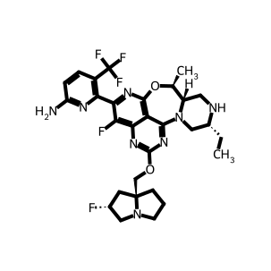 CC[C@@H]1CN2c3nc(OC[C@@]45CCCN4C[C@H](F)C5)nc4c(F)c(-c5nc(N)ccc5C(F)(F)F)nc(c34)O[C@@H](C)[C@@H]2CN1